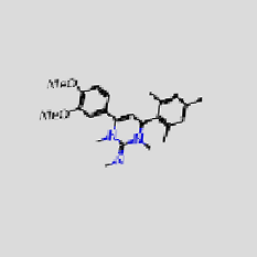 C/N=C1\N(C)C(c2ccc(OC)c(OC)c2)=CC(c2c(C)cc(C)cc2C)N1C